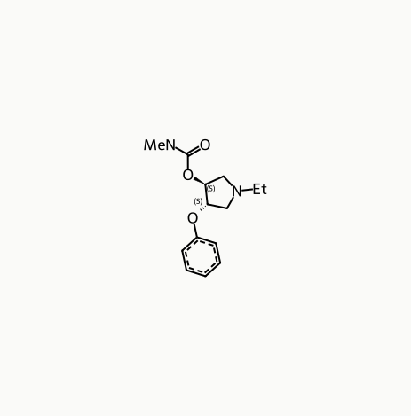 CCN1C[C@H](OC(=O)NC)[C@@H](Oc2ccccc2)C1